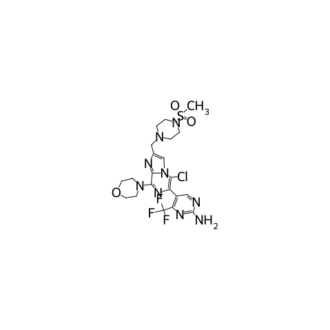 CS(=O)(=O)N1CCN(Cc2cn3c(Cl)c(-c4cnc(N)nc4C(F)(F)F)nc(N4CCOCC4)c3n2)CC1